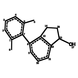 Cc1cccc(C)c1-c1cccc2c1CCC2O